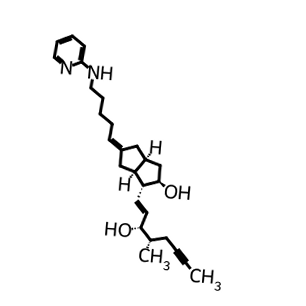 CC#CC[C@H](C)[C@H](O)/C=C/[C@@H]1[C@H]2C/C(=C/CCCCNc3ccccn3)C[C@H]2C[C@H]1O